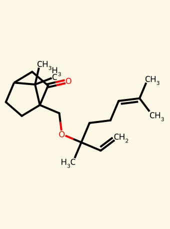 C=CC(C)(CCC=C(C)C)OCC12CCC(CC1=O)C2(C)C